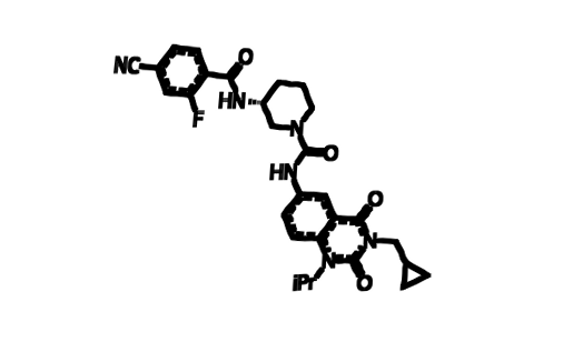 CC(C)n1c(=O)n(CC2CC2)c(=O)c2cc(NC(=O)N3CCC[C@@H](NC(=O)c4ccc(C#N)cc4F)C3)ccc21